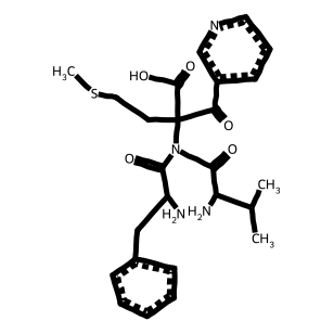 CSCCC(C(=O)O)(C(=O)c1cccnc1)N(C(=O)C(N)Cc1ccccc1)C(=O)C(N)C(C)C